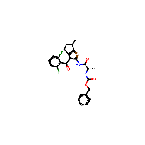 CC1CCc2c1sc(NC(=O)[C@H](C)NC(=O)OCc1ccccc1)c2C(=O)c1c(F)cccc1F